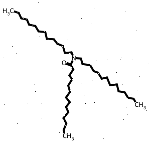 CCCCCCCCCCCCCCN(CCCCCCCCCCCCCC)C(=O)CCCCCCCCCCCCC